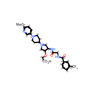 COc1ccc(N2CCC(N3CC(NC(=O)CNC(=O)c4cccc(C(F)(F)F)c4)C(OCC(=O)O)C3)CC2)cn1